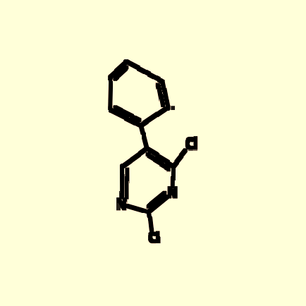 Clc1ncc(-c2[c]cccc2)c(Cl)n1